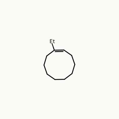 [CH2]CC1=CCCCCCCCC1